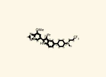 COc1cc(-c2[nH]c3ccc(C4CCC(N(C)CCC(F)(F)F)CC4)cc3c2C(C)C)cn2ncnc12